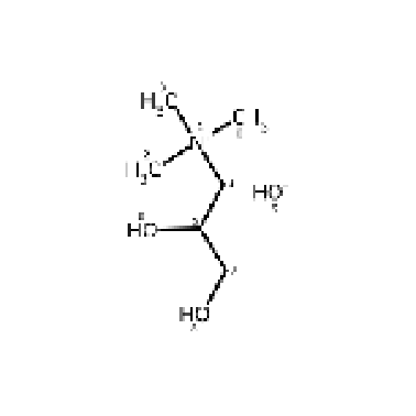 C[N+](C)(C)CC(O)CO.[OH-]